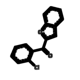 O=C(c1cc2ccccc2o1)c1ccccc1Cl